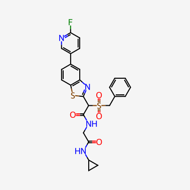 O=C(CNC(=O)C(c1nc2cc(-c3ccc(F)nc3)ccc2s1)S(=O)(=O)Cc1ccccc1)NC1CC1